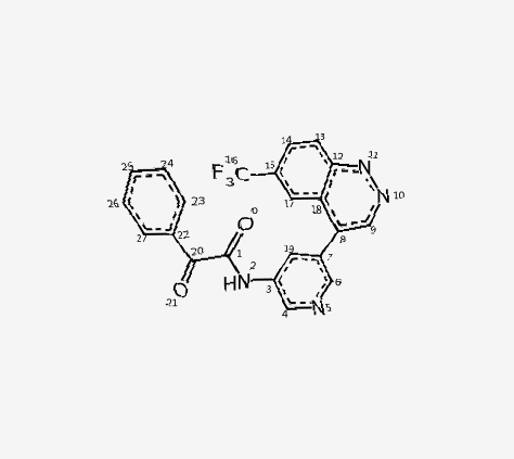 O=C(Nc1cncc(-c2cnnc3ccc(C(F)(F)F)cc23)c1)C(=O)c1ccccc1